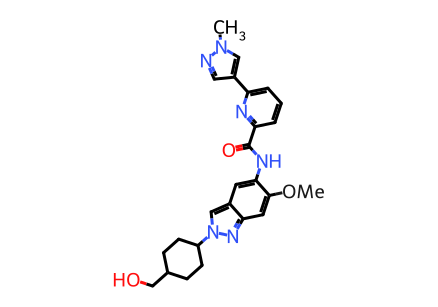 COc1cc2nn(C3CCC(CO)CC3)cc2cc1NC(=O)c1cccc(-c2cnn(C)c2)n1